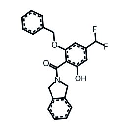 O=C(c1c(O)cc(C(F)F)cc1OCc1ccccc1)N1Cc2ccccc2C1